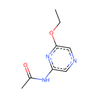 CCOc1cncc(NC(C)=O)n1